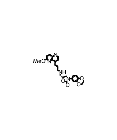 COc1ccc2nccc(C=CCNC[C@@H]3CN(c4ccc5c(c4)OCCO5)C(=O)O3)c2n1